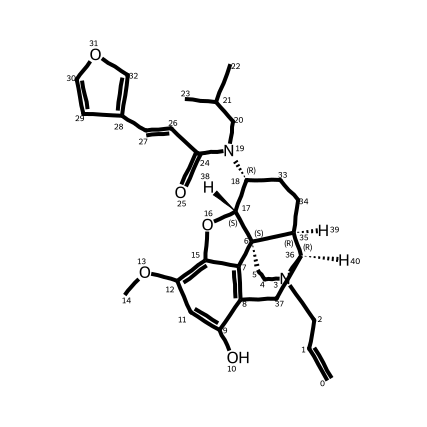 C=CCN1CC[C@]23c4c5c(O)cc(OC)c4O[C@@H]2[C@H](N(CC(C)C)C(=O)C=Cc2ccoc2)CC[C@H]3[C@H]1C5